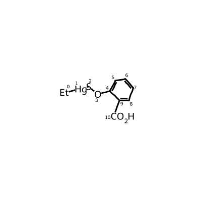 C[CH2][Hg][S]Oc1ccccc1C(=O)O